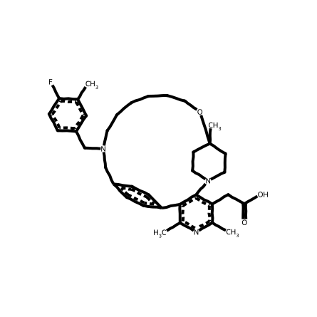 Cc1cc(CN2CCCCCCOC3(C)CCN(CC3)c3c(CC(=O)O)c(C)nc(C)c3-c3ccc(cc3)C2)ccc1F